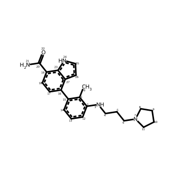 Cc1c(NCCCN2CCCC2)cccc1-c1ccc(C(N)=O)c2[nH]ccc12